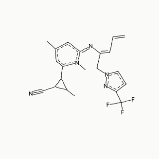 C=C/C=C(Cn1ccc(C(F)(F)F)n1)\N=c1\cc(C)cc(C2C(C)C2C#N)n1C